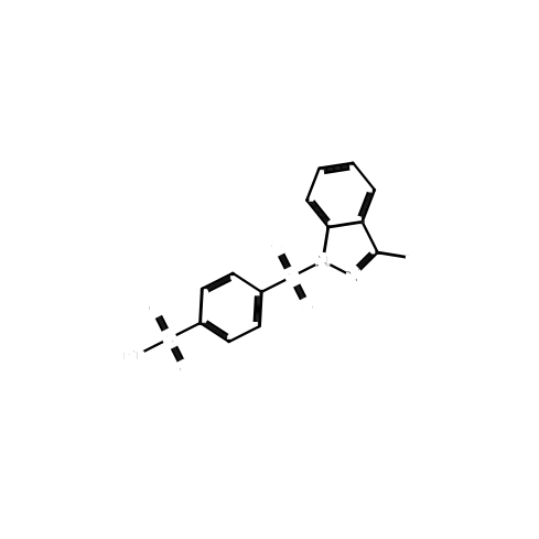 CC(C)S(=O)(=O)c1ccc(S(=O)(=O)n2nc(F)c3ccccc32)cc1